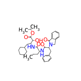 CCCC(NC(=O)C(Cc1ccccc1)N1Cc2ccccc2C1=O)C(=O)NC(CC1CCCCC1)C(O)C(=O)OC(C)C